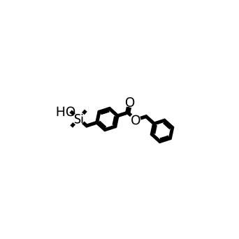 C[Si](C)(O)Cc1ccc(C(=O)OCc2ccccc2)cc1